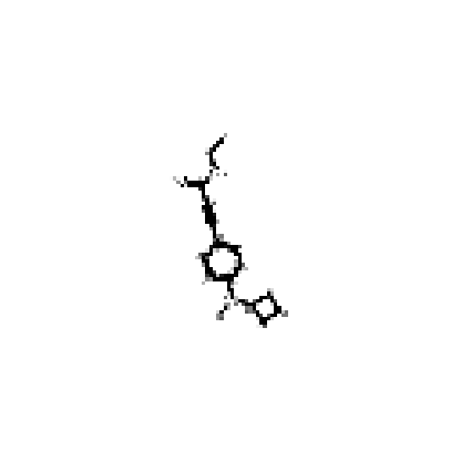 CCOC(=O)C#Cc1ccc(N(C)C2CCC2)cc1